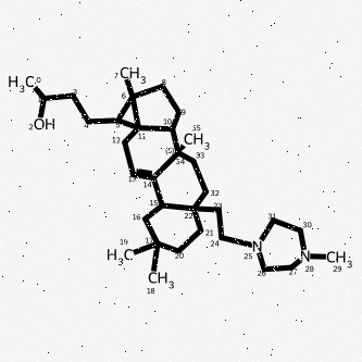 CC(O)CCC1C2(C)CCC3C12CC=C1C2CC(C)(C)CCC2(CCN2CCN(C)CC2)CC[C@]13C